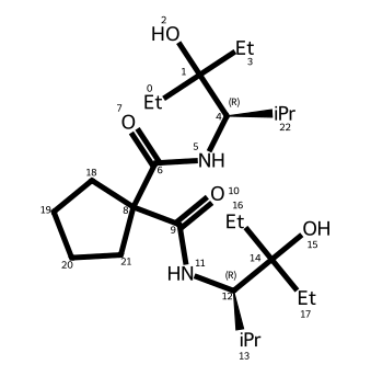 CCC(O)(CC)[C@H](NC(=O)C1(C(=O)N[C@H](C(C)C)C(O)(CC)CC)CCCC1)C(C)C